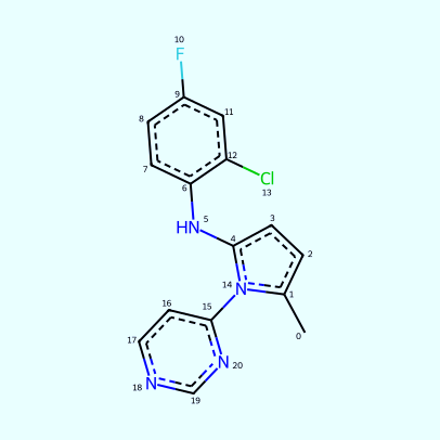 Cc1ccc(Nc2ccc(F)cc2Cl)n1-c1ccncn1